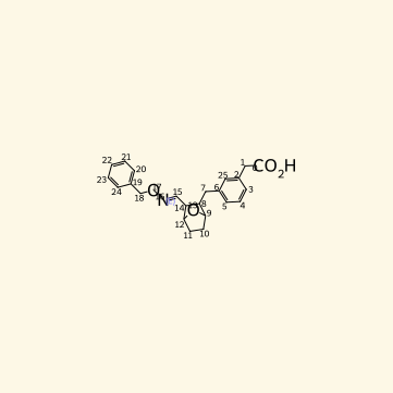 O=C(O)Cc1cccc(CC2C3CCC(O3)C2/C=N/OCc2ccccc2)c1